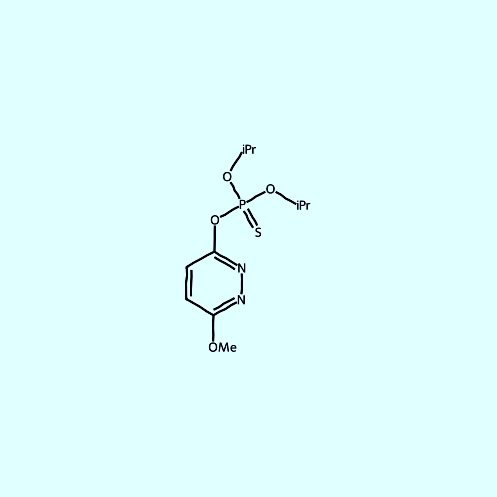 COc1ccc(OP(=S)(OC(C)C)OC(C)C)nn1